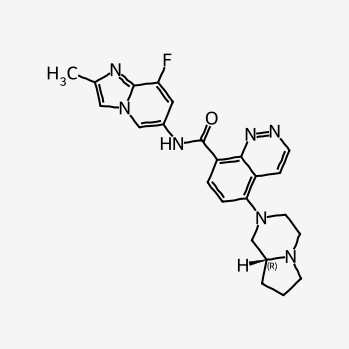 Cc1cn2cc(NC(=O)c3ccc(N4CCN5CCC[C@@H]5C4)c4ccnnc34)cc(F)c2n1